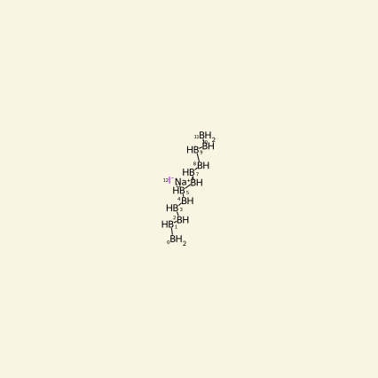 BBBBBBBBBBBB.[I-].[Na+]